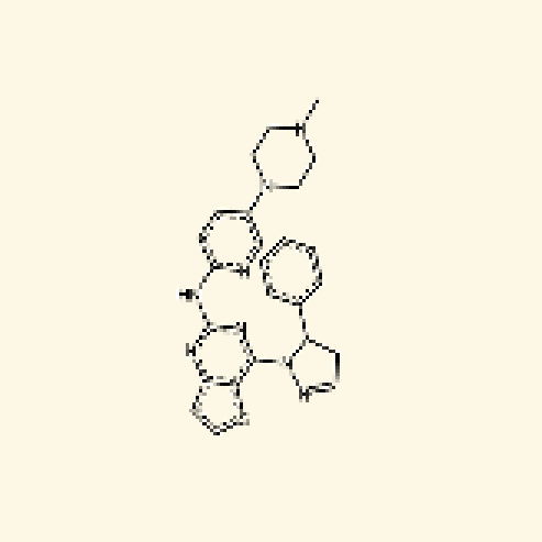 CN1CCN(c2ccc(Nc3nc(N4N=CCC4c4ccccc4)c4sccc4n3)nc2)CC1